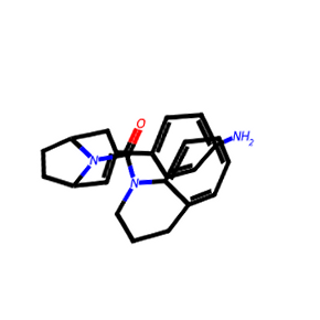 Nc1ccc(C2=CC3CCC(C2)N3C(=O)N2CCCc3ccccc32)cc1